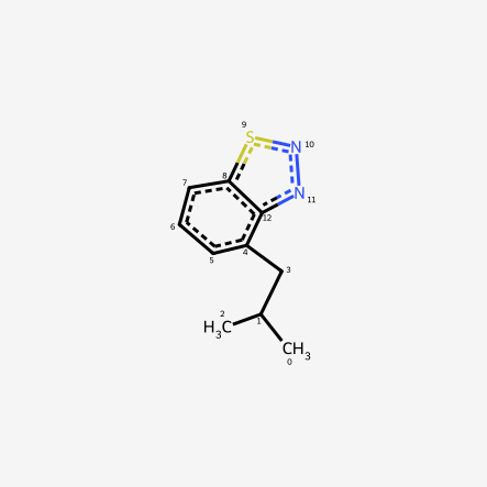 CC(C)Cc1cccc2snnc12